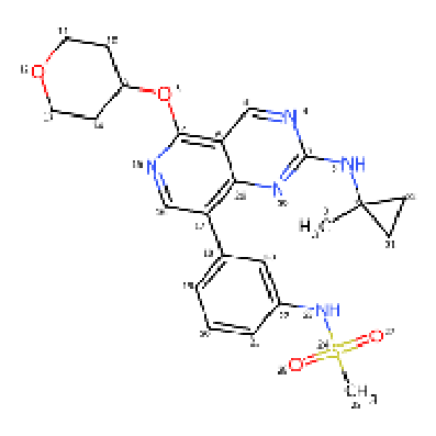 CC1(Nc2ncc3c(OC4CCOCC4)ncc(-c4cccc(NS(C)(=O)=O)c4)c3n2)CC1